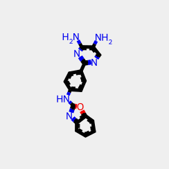 Nc1cnc(-c2ccc(Nc3nc4ccccc4o3)cc2)nc1N